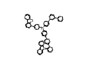 c1ccc(-c2cccc(-c3ccc(N(c4ccc(-c5ccc(-c6ccccc6-n6c7ccccc7c7ccccc76)cc5)cc4)c4ccc(-c5cccc6c5oc5ccccc56)cc4)cc3)c2)cc1